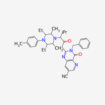 CCC1C(C)N(C(C(=O)Cc2nc3cc(C#N)cnc3c(=O)n2Cc2ccccc2)C(C)C)C(C)C(CC)N1c1ccc(C)cc1